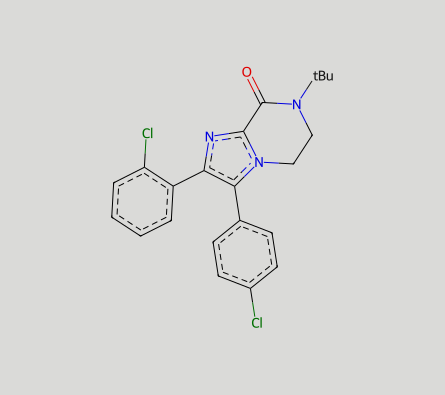 CC(C)(C)N1CCn2c(nc(-c3ccccc3Cl)c2-c2ccc(Cl)cc2)C1=O